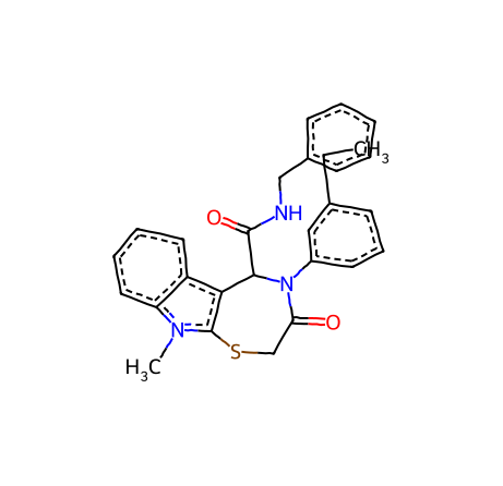 CCc1cccc(N2C(=O)CSc3c(c4ccccc4n3C)C2C(=O)NCc2ccccc2)c1